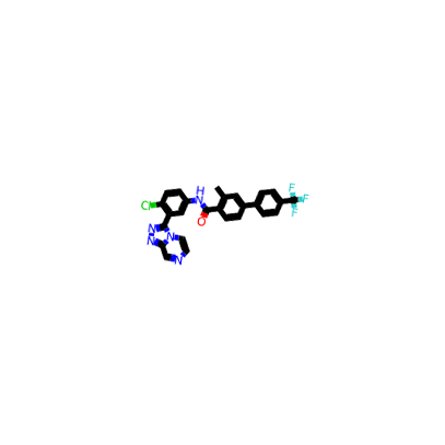 Cc1cc(-c2ccc(C(F)(F)F)cc2)ccc1C(=O)Nc1ccc(Cl)c(-c2nnc3cnccn23)c1